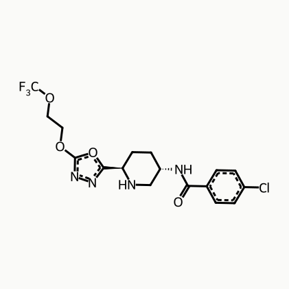 O=C(N[C@H]1CC[C@H](c2nnc(OCCOC(F)(F)F)o2)NC1)c1ccc(Cl)cc1